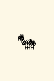 COc1c(NC(=O)N[C@H]2CC[C@@H](Oc3ccc4nnc([C@H](C(C)C)N(C)C)n4c3)c3ccccc32)cc(C(C)(C)C)cc1NS(C)(=O)=O